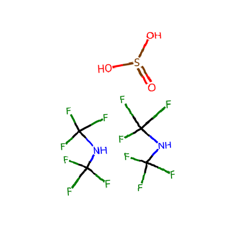 FC(F)(F)NC(F)(F)F.FC(F)(F)NC(F)(F)F.O=S(O)O